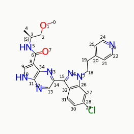 COC[C@H](C)NC(=O)c1c[nH]c2ncc(-c3nn(CCc4ccncc4)c4cc(Cl)ccc34)nc12